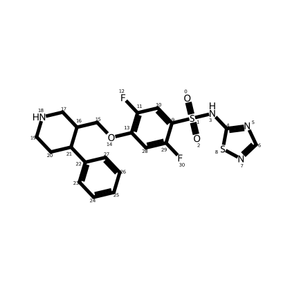 O=S(=O)(Nc1ncns1)c1cc(F)c(OCC2CNCCC2c2ccccc2)cc1F